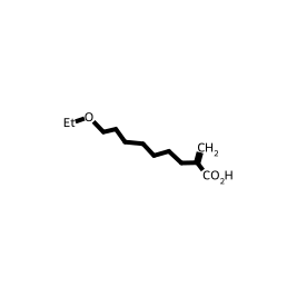 C=C(CCCCCCCOCC)C(=O)O